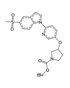 CC(C)(C)OC(=O)N1CCC(Oc2ccc(-n3ccc4cc(S(C)(=O)=O)ccc43)nc2)C1